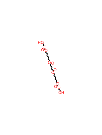 O=C(CCCC(=O)OCCCCCCOC(=O)OCCO)OCCCCCCOC(=O)OCCO